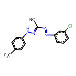 N#CC(N=Nc1cccc(Cl)c1)=NNc1ccc(C(F)(F)F)cc1